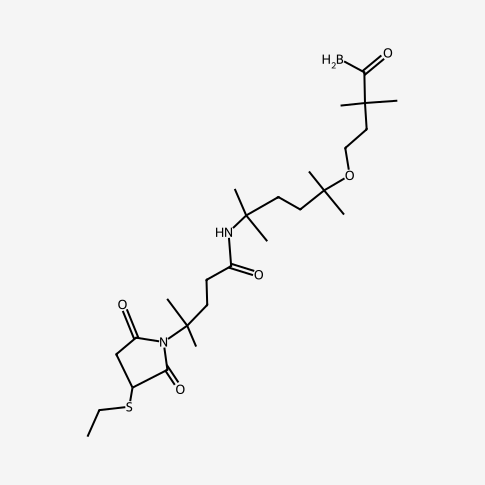 BC(=O)C(C)(C)CCOC(C)(C)CCC(C)(C)NC(=O)CCC(C)(C)N1C(=O)CC(SCC)C1=O